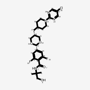 CC(C)(CO)NC(=O)c1c(F)cc([C@H]2OC[C@@H](CC3CCN(c4ncc(Cl)cn4)CC3)CO2)cc1F